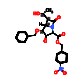 C[C@@H](O)[C@H]1C(=O)N2C(C(=O)OCc3ccc([N+](=O)[O-])cc3)C(=O)[C@H](OCc3ccccc3)[C@H]12